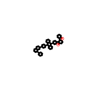 c1ccc(-c2cccc3ccc(-c4ccc(-c5c6ccccc6c(-c6ccc7c(c6)oc6ccc8oc9ccccc9c8c67)c6ccccc56)cc4)cc23)cc1